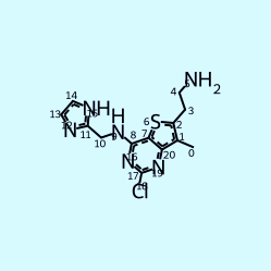 Cc1c(CCN)sc2c(NCc3ncc[nH]3)nc(Cl)nc12